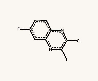 Fc1ccc2nc(Cl)c(I)nc2c1